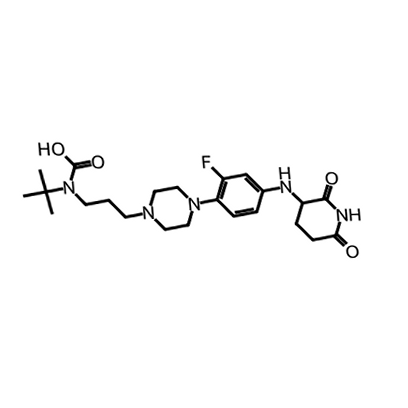 CC(C)(C)N(CCCN1CCN(c2ccc(NC3CCC(=O)NC3=O)cc2F)CC1)C(=O)O